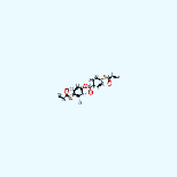 C=CC(=O)Sc1ccc(C(=O)Oc2ccc(SC(=O)C=C)c(C)c2)cc1